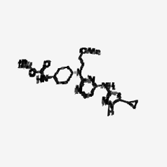 COCCN(c1nccc(Nc2cc(C3CC3)[nH]n2)n1)[C@H]1CC[C@H](NC(=O)OC(C)(C)C)CC1